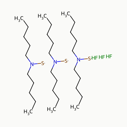 CCCCCN([S])CCCCC.CCCCCN([S])CCCCC.CCCCCN([S])CCCCC.F.F.F